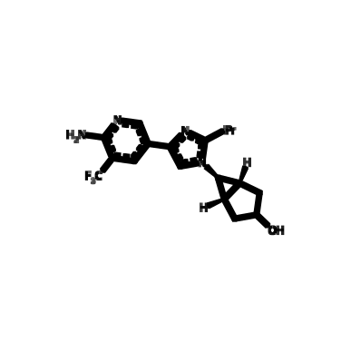 CC(C)c1nc(-c2cnc(N)c(C(F)(F)F)c2)cn1[C@H]1[C@@H]2CC(O)C[C@@H]21